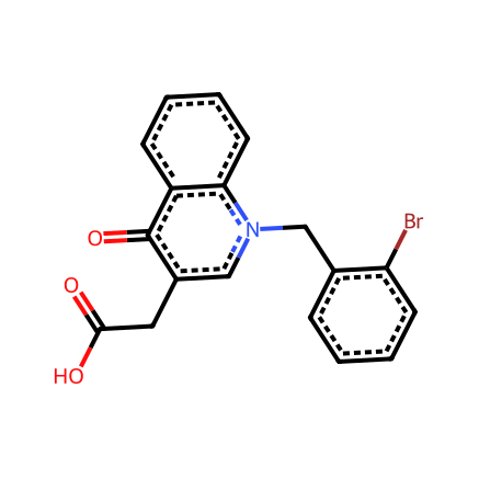 O=C(O)Cc1cn(Cc2ccccc2Br)c2ccccc2c1=O